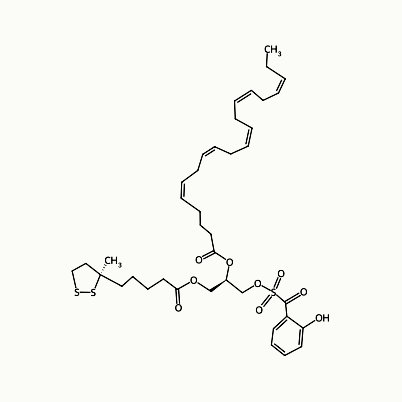 CC/C=C\C/C=C\C/C=C\C/C=C\C/C=C\CCCC(=O)O[C@H](COC(=O)CCCC[C@]1(C)CCSS1)COS(=O)(=O)C(=O)c1ccccc1O